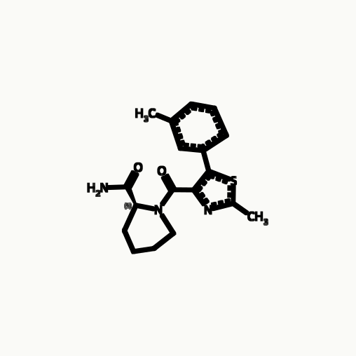 Cc1cccc(-c2sc(C)nc2C(=O)N2CCCC[C@H]2C(N)=O)c1